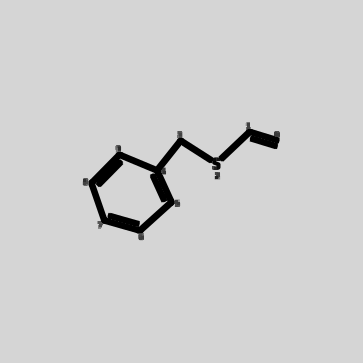 C=CSCc1ccccc1